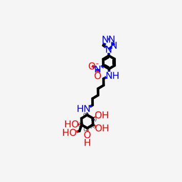 O=[N+]([O-])c1cc(-n2cnnn2)ccc1NCCCCCCN[C@H]1C[C@](O)(CO)[C@@H](O)[C@H](O)[C@H]1O